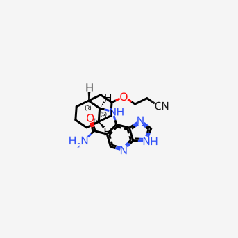 N#CCCOC1C[C@H]2CCC[C@@H](C1)[C@@H]2Nc1c(C(N)=O)cnc2[nH]cnc12